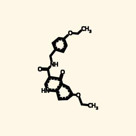 CCOc1ccc(CNC(=O)c2c[nH]c3ccc(OCC)cc3c2=O)cc1